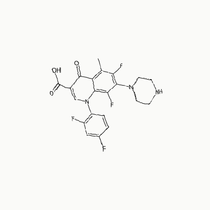 Cc1c(F)c(N2CCNCC2)c(F)c2c1c(=O)c(C(=O)O)cn2-c1ccc(F)cc1F